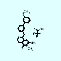 COc1cccc(-c2cccc(CC3CCCc4c3nc(N)n(C)c4=O)c2)c1.O=C(O)C(F)(F)F